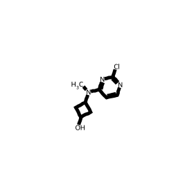 CN(c1ccnc(Cl)n1)C1CC(O)C1